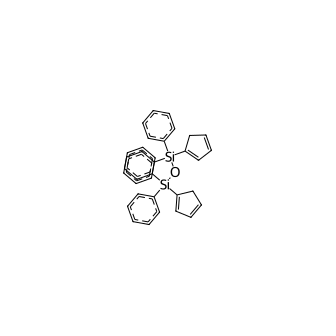 C1=CCC([Si](O[Si](C2=CC=CC2)(c2ccccc2)c2ccccc2)(c2ccccc2)c2ccccc2)=C1